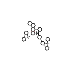 CC1(C)c2ccccc2-c2cccc(-c3ccc(N(c4ccc(-c5ccc6c(c5)C(C)(c5ccccc5)c5ccccc5-6)cc4)c4ccccc4-c4cccc5c4ccc4ccccc45)cc3)c21